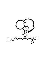 CCCCCC(O)CCC(=O)O.O=C1O/C=C\C=C\CCCCC2CCCCCCC1C(=O)O2